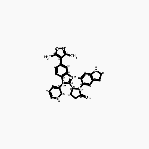 Cc1noc(C)c1-c1ccc2c(c1)nc([C@@H]1CCC(=O)N1c1ccc3c(c1)CCO3)n2C1=CC=CSC1